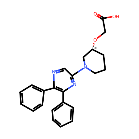 O=C(O)CO[C@@H]1CCCN(c2cnc(-c3ccccc3)c(-c3ccccc3)n2)C1